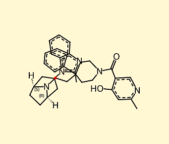 Cc1cc(O)c(C(=O)N2CCC(CCN3[C@@H]4CC[C@H]3CC(n3c(C)nc5ccccc53)C4)(c3ccccc3)CC2)cn1